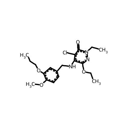 CCCOc1cc(CNc2c(OCC)nn(CC)c(=O)c2Cl)ccc1OC